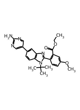 CCOC(=O)c1cc(OC)ccc1-c1nc2cc(-c3cnc(N)nc3)ccc2n1C(C)(C)C